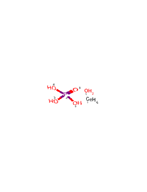 O.O=P(O)(O)O.[GeH4]